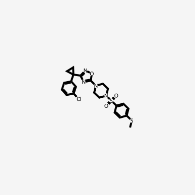 CSc1ccc(S(=O)(=O)N2CCN(c3nc(C4(c5cccc(Cl)c5)CC4)no3)CC2)cc1